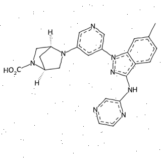 Cc1ccc2c(Nc3cnccn3)nn(-c3cncc(N4C[C@@H]5C[C@H]4CN5C(=O)O)c3)c2c1